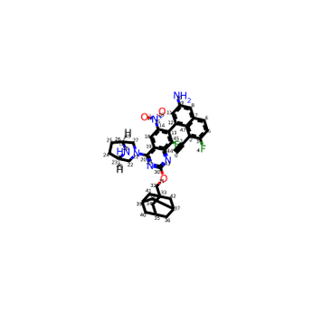 C#Cc1c(F)ccc2cc(N)cc(-c3c([N+](=O)[O-])cc4c(N5C[C@H]6CC[C@@H](C5)N6)nc(OCC56CC7CC(CC(C7)C5)C6)nc4c3F)c12